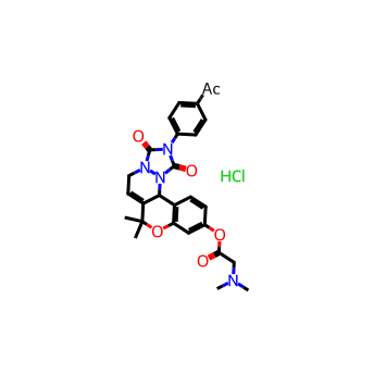 CC(=O)c1ccc(-n2c(=O)n3n(c2=O)C2C(=CC3)C(C)(C)Oc3cc(OC(=O)CN(C)C)ccc32)cc1.Cl